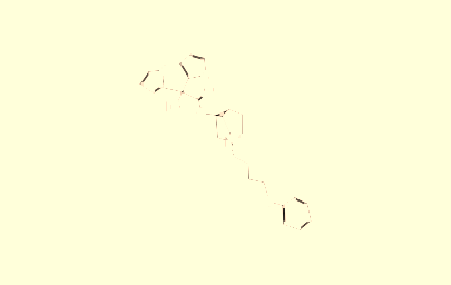 O=C(OC1C[N+]2(CCCCOc3ccccc3)CCC1CC2)C(O)(c1cccs1)c1cccs1